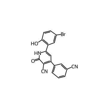 N#Cc1cccc(-c2cc(-c3cc(Br)ccc3O)[nH]c(=O)c2C#N)c1